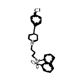 O=S1(=O)c2cccc3cccc(c23)N1CCCN1CCC(c2ccc(Cl)cc2)CC1